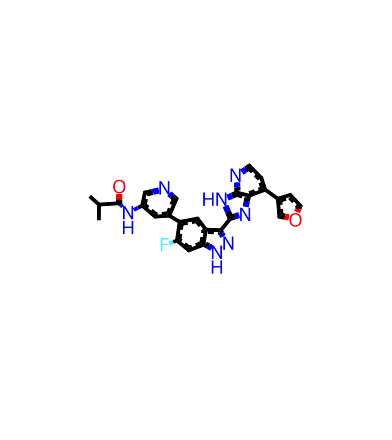 CC(C)C(=O)Nc1cncc(-c2cc3c(-c4nc5c(-c6ccoc6)ccnc5[nH]4)n[nH]c3cc2F)c1